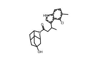 Cc1ccc2[nH]cc(C(C)CC(=O)N3C4CC5CC3CC(O)(C5)C4)c2c1Cl